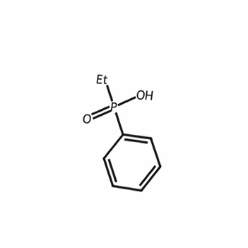 [CH2]CP(=O)(O)c1ccccc1